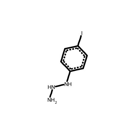 NNNc1ccc(I)cc1